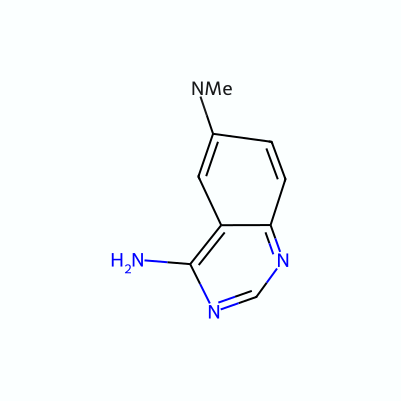 CNc1ccc2ncnc(N)c2c1